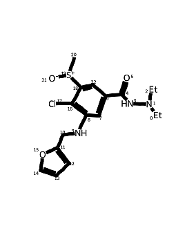 CCN(CC)NC(=O)c1cc(NCc2ccco2)c(Cl)c([S+](C)[O-])c1